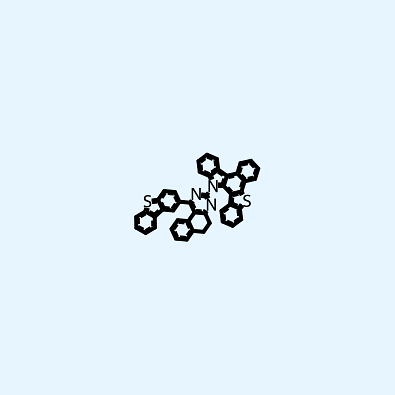 c1ccc2c(c1)CCc1nc(-n3c4ccccc4c4c5ccccc5c5sc6ccccc6c5c43)nc(-c3ccc4sc5ccccc5c4c3)c1-2